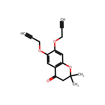 C#CCOc1cc2c(cc1OCC#C)C(=O)CC(C)(C)O2